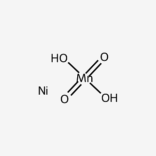 [Ni].[O]=[Mn](=[O])([OH])[OH]